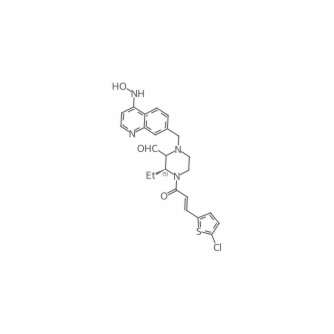 CC[C@H]1C(C=O)N(Cc2ccc3c(NO)ccnc3c2)CCN1C(=O)C=Cc1ccc(Cl)s1